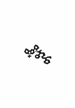 C/C=C\C(=C/C/C=C\C(=C(/C)Nc1ccccc1-c1ccc2c(c1)c1ccccc1n2C(C)(C)C)c1ccccc1)c1ccccc1